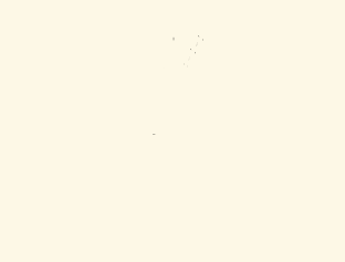 CCCCCCC[C@@H](O)CCOC[C@H](CO)N=[N+]=[N-]